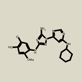 COc1cc(O)c(Cl)cc1Nc1nc(N)n(-c2cc(NC3CCCCC3)ncn2)n1